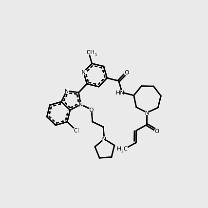 CC=CC(=O)N1CCCCC(NC(=O)c2cc(C)nc(-c3nc4cccc(Cl)c4n3OCCN3CCCC3)c2)C1